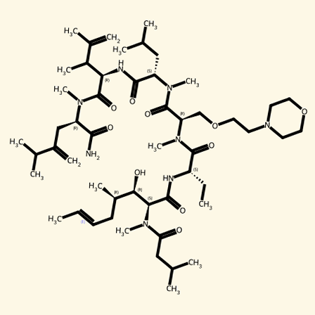 C=C(C[C@H](C(N)=O)N(C)C(=O)[C@H](NC(=O)[C@H](CC(C)C)N(C)C(=O)[C@@H](COCCN1CCOCC1)N(C)C(=O)[C@H](CC)NC(=O)[C@H]([C@H](O)[C@H](C)C/C=C/C)N(C)C(=O)CC(C)C)C(C)C(=C)C)C(C)C